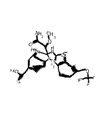 COC(C(N)=O)C1(Nc2nc3ccc(OC(F)(F)F)cc3s2)Nc2cc(C(=O)O)ccc2N1C